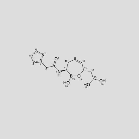 O=C(Cc1cccs1)N[C@H]1CC=C[C@H](CC(O)O)OB1O